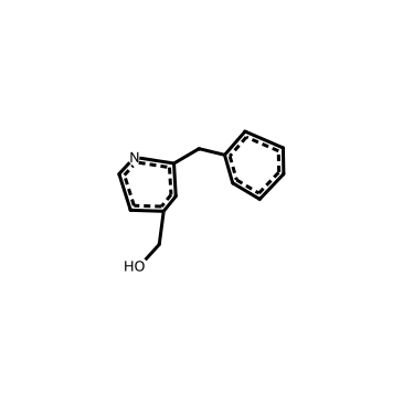 OCc1ccnc(Cc2ccccc2)c1